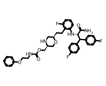 NC(=O)[C@@H](Nc1cccc(F)c1CC[C@@H]1CN[C@H](COC(=O)NCCOc2ccccc2)CO1)C(c1ccc(F)cc1)c1ccc(F)cc1